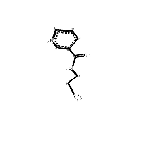 CCCOC(=O)c1[c]nccc1